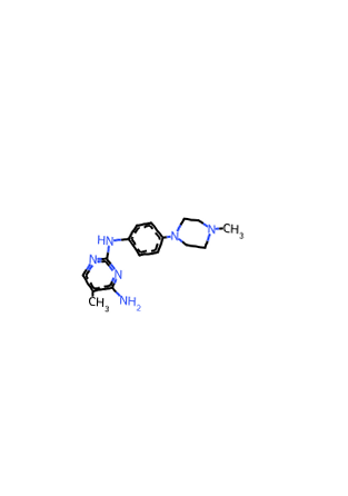 Cc1cnc(Nc2ccc(N3CCN(C)CC3)cc2)nc1N